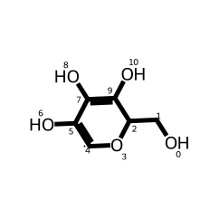 OCC1O[C]=C(O)C(O)=C1O